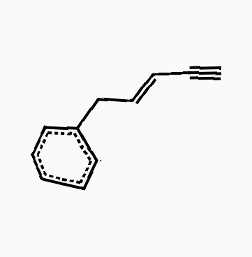 C#C/C=C/Cc1[c]cccc1